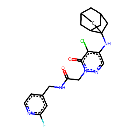 O=C(Cn1ncc(NC23CC4CC(CC2C4)C3)c(Cl)c1=O)NCc1ccnc(F)c1